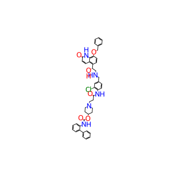 O=C(CCN1CCC(OC(=O)Nc2ccccc2-c2ccccc2)CC1)Nc1ccc(CNC[C@H](O)c2ccc(OCc3ccccc3)c3[nH]c(=O)ccc23)cc1Cl